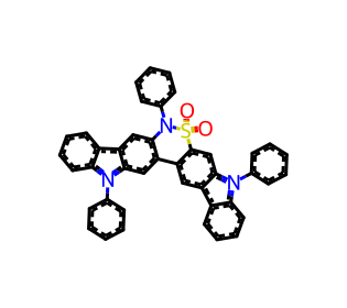 O=S1(=O)c2cc3c(cc2-c2cc4c(cc2N1c1ccccc1)c1ccccc1n4-c1ccccc1)c1ccccc1n3-c1ccccc1